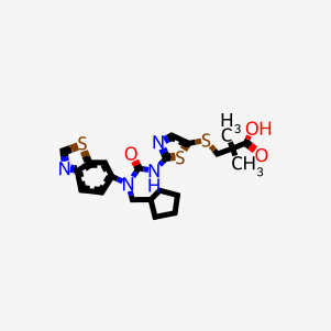 CC(C)(CSc1cnc(NC(=O)N(CC2CCCC2)c2ccc3ncsc3c2)s1)C(=O)O